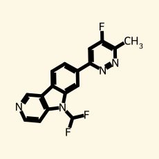 Cc1nnc(-c2ccc3c4cnccc4n(C(F)F)c3c2)cc1F